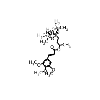 COc1cc(C=CC(=O)OC(C)CC[Si](C)(O[Si](C)(C)C)O[Si](C)(C)C)cc(OC)c1OC